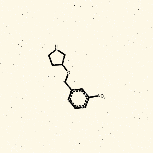 O=[N+]([O-])c1cccc(COC2CCNC2)c1